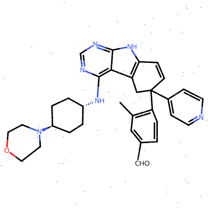 Cc1cc(C=O)ccc1C1(c2ccncc2)C=Cc2[nH]c3ncnc(N[C@H]4CC[C@H](N5CCOCC5)CC4)c3c2C1